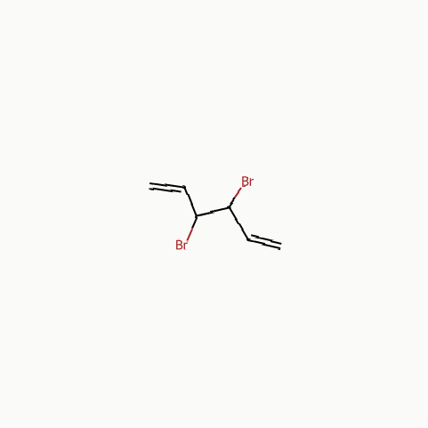 C=CC(Br)C(Br)C=C